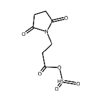 O=C(CCN1C(=O)CCC1=O)O[SH](=O)=O